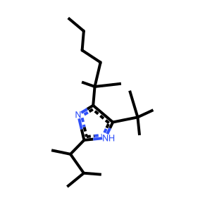 CCCCC(C)(C)c1nc(C(C)C(C)C)[nH]c1C(C)(C)C